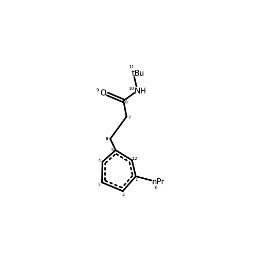 CCCc1cccc(CCC(=O)NC(C)(C)C)c1